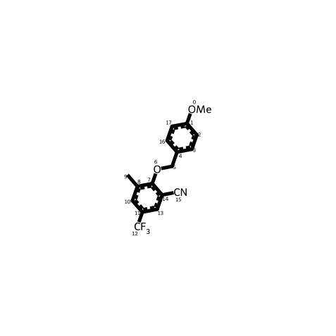 COc1ccc(COc2c(C)cc(C(F)(F)F)cc2C#N)cc1